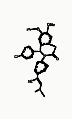 COc1cc2c(cc1OC(C)C)[C@H](c1ccc(Cl)cc1)N(c1ccc(/C(C#N)=C/N(C)C)cc1)C(=O)C2